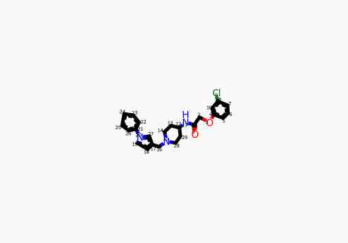 O=C(COc1cccc(Cl)c1)NC1CCN(Cc2ccn(-c3ccccc3)c2)CC1